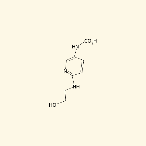 O=C(O)Nc1ccc(NCCO)nc1